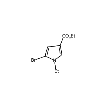 CCOC(=O)c1cc(Br)n(CC)c1